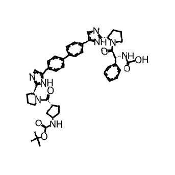 CC(C)(C)OC(=O)N[C@H]1CC[C@@H](C(=O)N2CCC[C@H]2c2ncc(-c3ccc(-c4ccc(-c5cnc([C@@H]6CCCN6C(=O)[C@H](NC(=O)O)c6ccccc6)[nH]5)cc4)cc3)[nH]2)C1